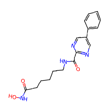 O=C(CCCCCNC(=O)c1ncc(-c2ccccc2)cn1)NO